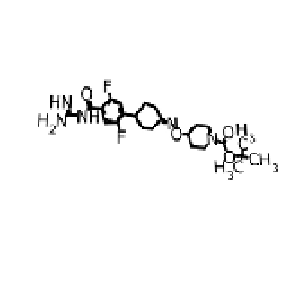 CC(C)(C)OC(=O)N1CCC(ON=C2CCC(c3cc(F)c(C(=O)NC(=N)N)cc3F)CC2)CC1